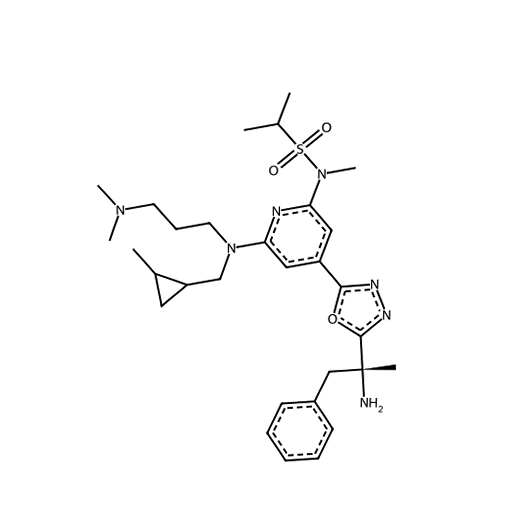 CC1CC1CN(CCCN(C)C)c1cc(-c2nnc([C@](C)(N)Cc3ccccc3)o2)cc(N(C)S(=O)(=O)C(C)C)n1